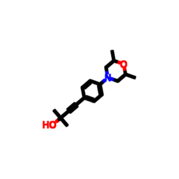 CC1CN(c2ccc(C#CC(C)(C)O)cc2)CC(C)O1